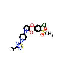 CC(C)c1nsc(N2CCC(N3CCC(Oc4ccc(S(C)(=O)=O)c(Cl)c4)C3=O)CC2)n1